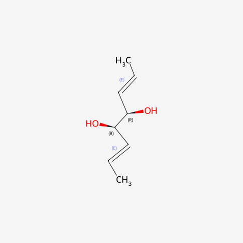 C/C=C/[C@@H](O)[C@H](O)/C=C/C